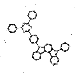 c1ccc(-c2nc(-c3ccccc3)nc(-c3ccc(-n4c5ccccc5c5c6c7cnncc7n(-c7ccccc7)c6ccc54)cc3)n2)cc1